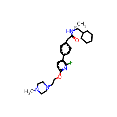 C[C@@H](NC(=O)Cc1ccc(-c2ccc(OCCN3CCN(C)CC3)nc2F)cc1)C1CCCCC1